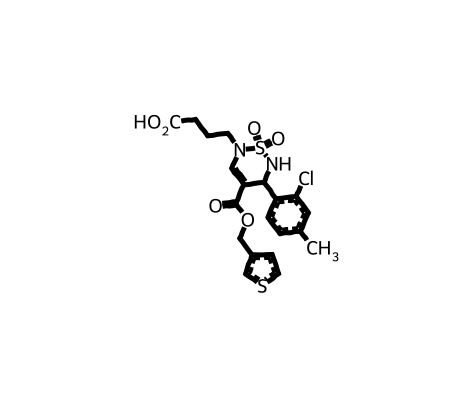 Cc1ccc(C2NS(=O)(=O)N(CCCC(=O)O)C=C2C(=O)OCc2ccsc2)c(Cl)c1